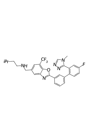 CC(C)CCNCc1cc(C(F)(F)F)c2oc(-c3cccc(-c4ccc(F)cc4-c4nncn4C)c3)nc2c1